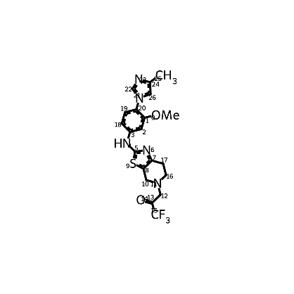 COc1cc(Nc2nc3c(s2)CN(CC(=O)C(F)(F)F)CC3)ccc1-n1cnc(C)c1